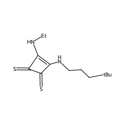 CCNc1c(NCCCC(C)(C)C)c(=S)c1=S